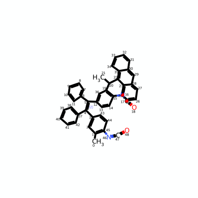 Cc1cc(/C(=C(/c2ccccc2)c2ccc(N=C=O)c(C(C)c3c4ccccc4cc4ccccc34)c2)c2ccccc2)ccc1N=C=O